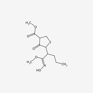 CCCC(C(=NO)OC)C1SCC(C(=O)OC)C1=O